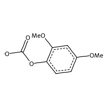 COc1ccc(OC([O])=O)c(OC)c1